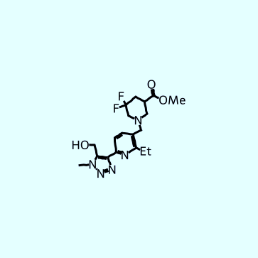 CCc1nc(-c2nnn(C)c2CO)ccc1CN1CC(C(=O)OC)CC(F)(F)C1